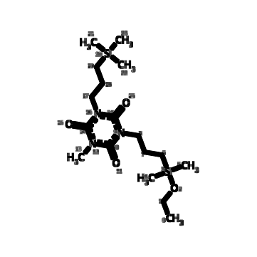 CCO[Si](C)(C)CCCn1c(=O)n(C)c(=O)n(CCC[Si](C)(C)C)c1=O